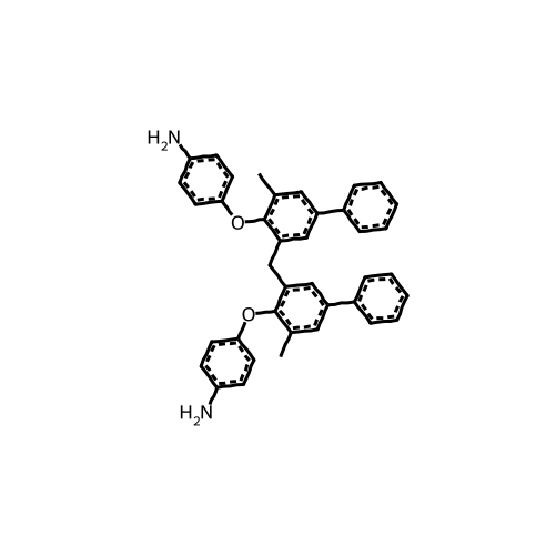 Cc1cc(-c2ccccc2)cc(Cc2cc(-c3ccccc3)cc(C)c2Oc2ccc(N)cc2)c1Oc1ccc(N)cc1